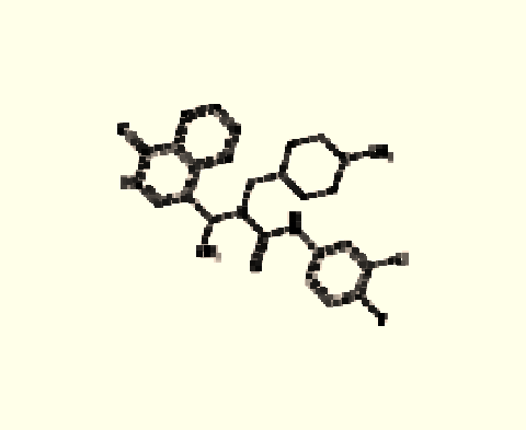 CC(c1c[nH]c(=O)c2ccccc12)N(CC1CCN(C)CC1)C(=O)Nc1ccc(F)c(Cl)c1